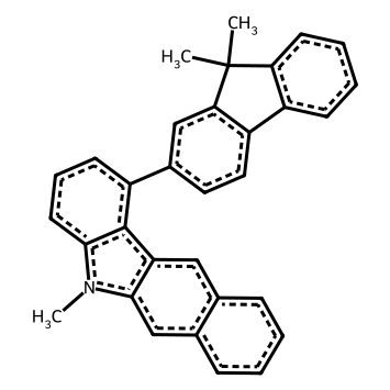 Cn1c2cc3ccccc3cc2c2c(-c3ccc4c(c3)C(C)(C)c3ccccc3-4)cccc21